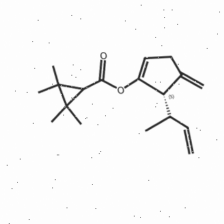 C=CC(C)[C@H]1C(=C)CC=C1OC(=O)C1C(C)(C)C1(C)C